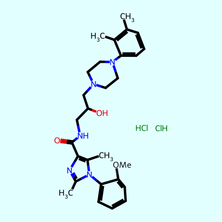 COc1ccccc1-n1c(C)nc(C(=O)NCC(O)CN2CCN(c3cccc(C)c3C)CC2)c1C.Cl.Cl